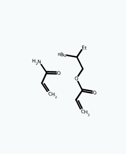 C=CC(=O)OCC(CC)CCCC.C=CC(N)=O